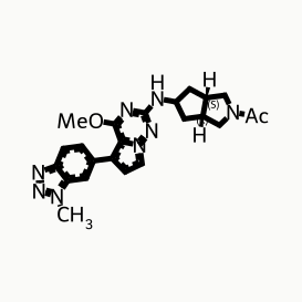 COc1nc(NC2C[C@@H]3CN(C(C)=O)C[C@@H]3C2)nn2ccc(-c3ccc4nnn(C)c4c3)c12